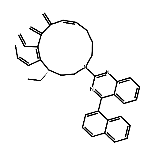 C=C/C1=C(\C=C/C)[C@@H](CC)CCN(c2nc(-c3cccc4ccccc34)c3ccccc3n2)CCC/C=C\C(=C)C1=C